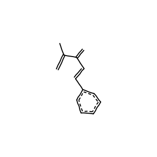 C=C(C)C(=C)C=Cc1ccccc1